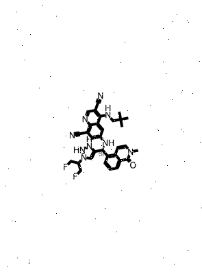 Cn1ccc2c([C@H](Nc3cc(C#N)c4ncc(C#N)c(NCC(C)(C)C)c4c3)C3=CN(C(CF)CF)NN3)cccc2c1=O